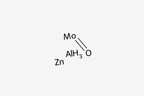 [AlH3].[O]=[Mo].[Zn]